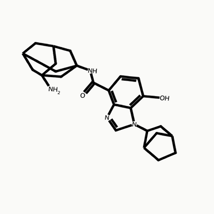 NC12CC3CC(C1)CC(NC(=O)c1ccc(O)c4c1ncn4C1CC4CCC1C4)(C3)C2